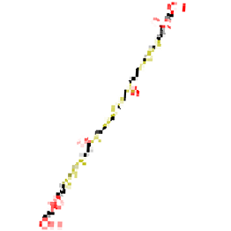 O=C(CCSCSCSCCC[S+]([O-])CCSCSCSCCSC(=O)CCSCSCSCCCOOCCO)OCCO